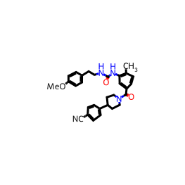 COc1ccc(CCNC(=O)Nc2cc(C(=O)N3CCC(c4ccc(C#N)cc4)CC3)ccc2C)cc1